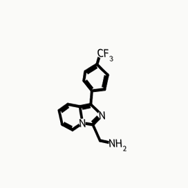 NCc1nc(-c2ccc(C(F)(F)F)cc2)c2ccccn12